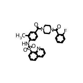 Cc1cc(C(=O)N2CCN(C(=O)c3ccccc3F)CC2)ccc1NS(=O)(=O)c1cccc2cccnc12